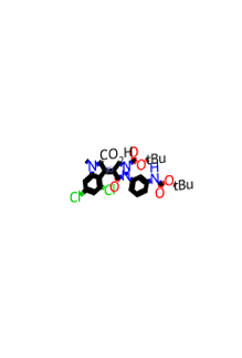 CN1c2cc(Cl)cc(Cl)c2/C(=C2/CN(C(=O)OC(C)(C)C)N(c3cccc(NC(=O)OC(C)(C)C)c3)C2=O)C1C(=O)O